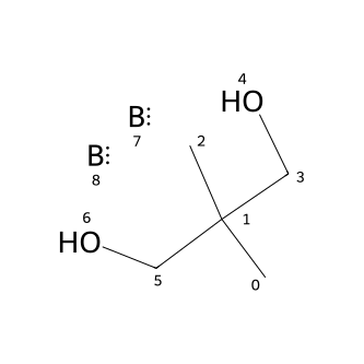 CC(C)(CO)CO.[B].[B]